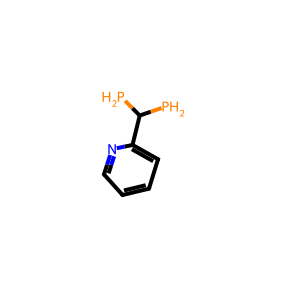 PC(P)c1ccccn1